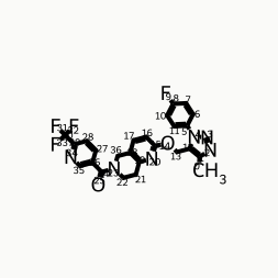 Cc1nnn(-c2ccc(F)cc2)c1COc1ccc2c(n1)CCN(C(=O)c1ccc(C(F)(F)F)nc1)C2